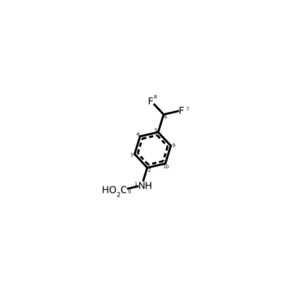 O=C(O)Nc1ccc(C(F)F)cc1